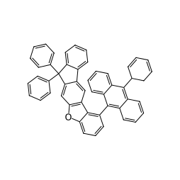 C1=CCC(c2c3ccccc3c(-c3cccc4oc5cc6c(cc5c34)-c3ccccc3C6(c3ccccc3)c3ccccc3)c3ccccc23)C=C1